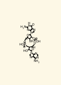 CCCC1C2OP(=O)(O)OC[C@H]3O[C@@H](n4cnc5c(N)ncnc54)C(O)C3CP(=O)(O)OC[C@H]1O[C@H]2n1cnc2c(=O)[nH]c(N)nc21